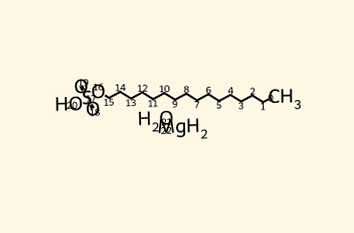 CCCCCCCCCCCCCCCCOS(=O)(=O)O.O.[MgH2]